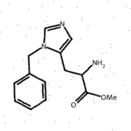 COC(=O)C(N)Cc1cncn1Cc1ccccc1